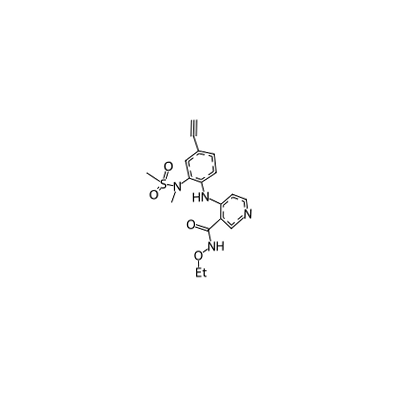 C#Cc1ccc(Nc2ccncc2C(=O)NOCC)c(N(C)S(C)(=O)=O)c1